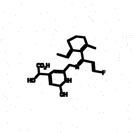 C/C=C1\CCCC(C)=C1C(/C=C/F)=N\CC1=CC(C(O)C(=O)O)=CC(O)N1